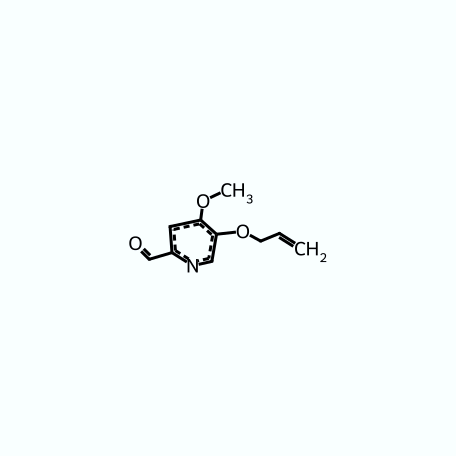 C=CCOc1cnc(C=O)cc1OC